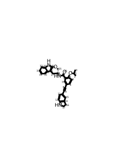 CC(C)Oc1ccc(C#Cc2ccc3c(c2)CCN3)cc1C(=O)N[C@@H](CO)Cc1c[nH]c2ccccc12